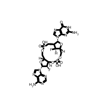 Nc1nc2c(ncn2[C@@H]2O[C@@H]3COP(=O)(O)O[C@H]4[C@@H](F)[C@H](n5cnc6c(N)ncnc65)O[C@@H]4COP(=O)(O)C[C@@H]2[C@@H]3F)c(=O)[nH]1